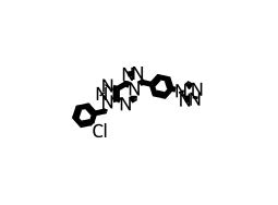 Clc1ccccc1Cn1nnc2c1ncn1c(-c3ccc(-n4cnnn4)cc3)nnc21